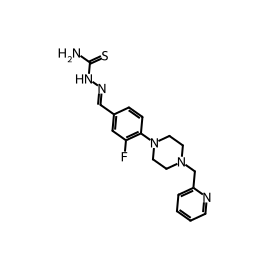 NC(=S)N/N=C/c1ccc(N2CCN(Cc3ccccn3)CC2)c(F)c1